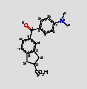 CN(C)c1ccc(C(=O)c2ccc3c(c2)CC(C(=O)O)C3)cc1